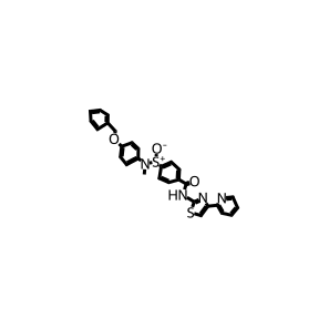 CN(c1ccc(OCc2ccccc2)cc1)[S+]([O-])c1ccc(C(=O)Nc2nc(-c3ccccn3)cs2)cc1